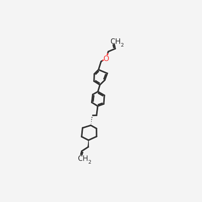 C=CCOCc1ccc(-c2ccc(CC[C@H]3CC[C@H](CC=C)CC3)cc2)cc1